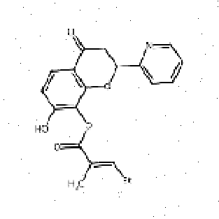 CCC=C(C)C(=O)Oc1c(O)ccc2c1OC(c1ccccn1)CC2=O